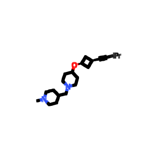 CC(C)C#C[C@H]1C[C@H](OC2CCN(CC3CCN(C)CC3)CC2)C1